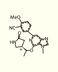 COc1ccc(-c2cc3ncn(C)c3c(OC(C)[C@H]3CNC(=O)C3)n2)cc1C#N